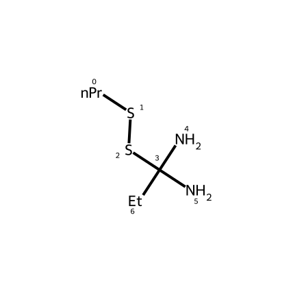 CCCSSC(N)(N)CC